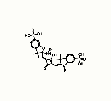 CCNC1(C=C2C(=O)C(C=C3N(CC)c4cc(P(=O)(O)O)ccc4C3(C)C)=C2O)Oc2cc(P(=O)(O)O)ccc2C1(C)C